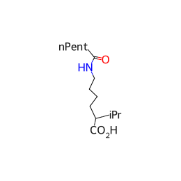 CCCCCC(=O)NCCCCC(C(=O)O)C(C)C